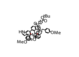 COc1ccc(CN(Cc2ccc(OC)cc2)S(=O)(=O)c2c(S(=O)(=O)C3CN(C(=O)OC(C)(C)C)C3)ccc(-c3cnc4cc[nH]c4c3)c2-c2nnnn2Cc2ccc(OC)cc2)cc1